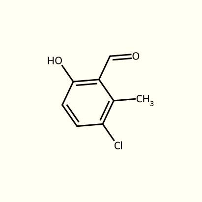 Cc1c(Cl)ccc(O)c1C=O